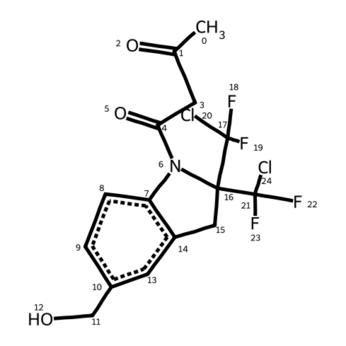 CC(=O)CC(=O)N1c2ccc(CO)cc2CC1(C(F)(F)Cl)C(F)(F)Cl